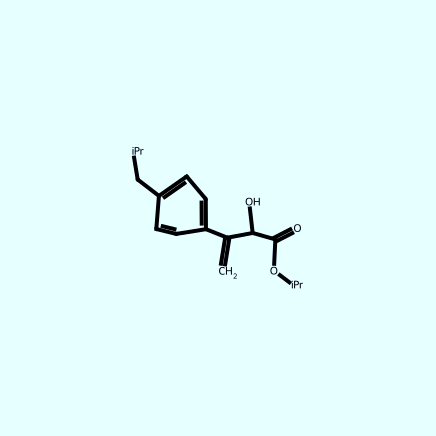 C=C(c1ccc(CC(C)C)cc1)C(O)C(=O)OC(C)C